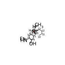 CCNc1cc2c(cc1O)[C@]13CCCC[C@@H]1[C@H](C2)N(C)CC3